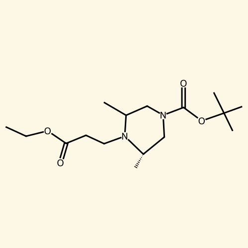 CCOC(=O)CCN1C(C)CN(C(=O)OC(C)(C)C)C[C@@H]1C